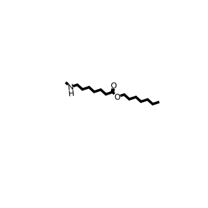 CCCCCCCOC(=O)CCCCCCNC